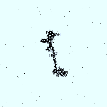 C#Cc1c(F)ccc2cc(O)cc(-c3ncc4c(N5CC6CCC(C5)N6)nc(OCC56CCC(COC(=O)NCCOCCOCCNc7cccc8c7C(O)N(C7CCC(=O)NC7=O)C8=O)N5CC(=C)C6)nc4c3F)c12